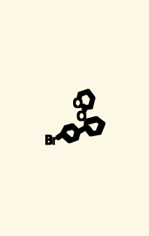 Brc1ccc(-c2ccccc2OC2CCCCO2)cc1